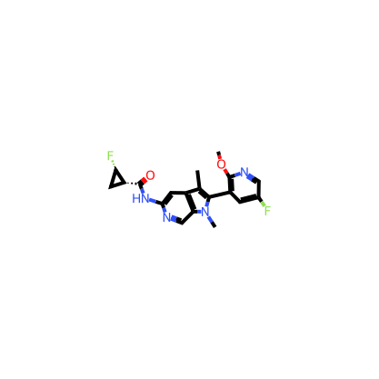 COc1ncc(F)cc1-c1c(C)c2cc(NC(=O)[C@@H]3C[C@@H]3F)ncc2n1C